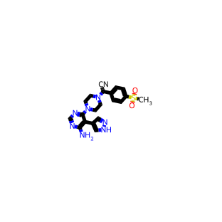 CS(=O)(=O)c1ccc(C(C#N)N2CCN(c3ncnc(N)c3-c3cn[nH]c3)CC2)cc1